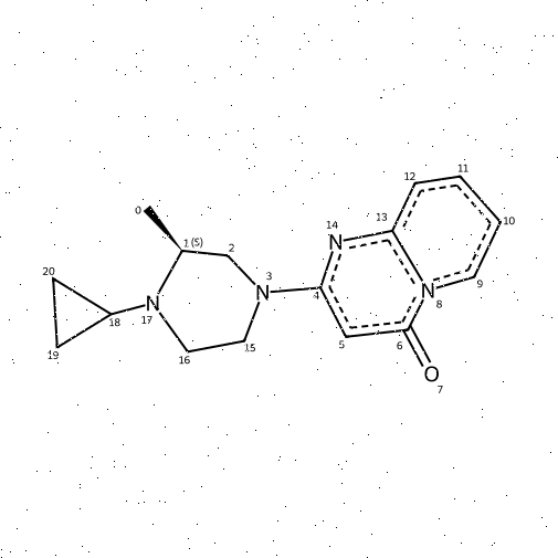 C[C@H]1CN(c2cc(=O)n3ccccc3n2)CCN1C1CC1